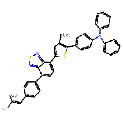 CCCCCCCCc1cc(-c2ccc(-c3ccc(C=C(C#N)C(=O)O)cc3)c3nsnc23)sc1-c1ccc(N(c2ccccc2)c2ccccc2)cc1